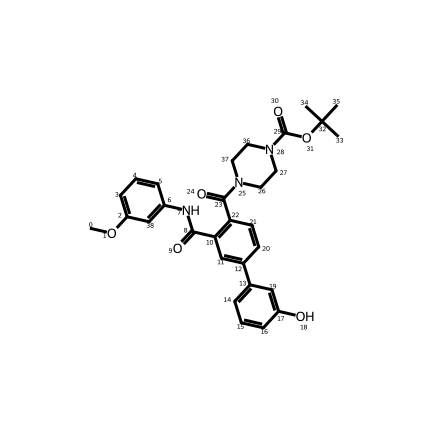 COc1cccc(NC(=O)c2cc(-c3cccc(O)c3)ccc2C(=O)N2CCN(C(=O)OC(C)(C)C)CC2)c1